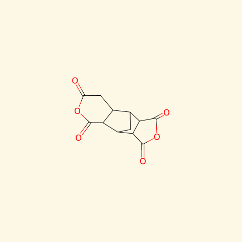 O=C1CC2C3CC(C2C(=O)O1)C1C(=O)OC(=O)C31